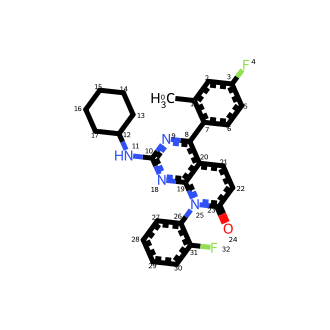 Cc1cc(F)ccc1-c1nc(NC2CCCCC2)nc2c1ccc(=O)n2-c1ccccc1F